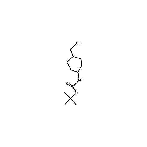 CC(C)(C)OC(=O)NC1CCC(CO)CC1